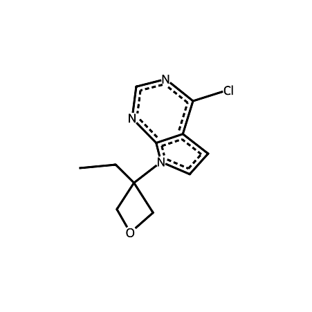 CCC1(n2ccc3c(Cl)ncnc32)COC1